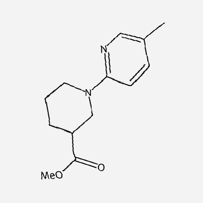 COC(=O)C1CCCN(c2ccc(C)cn2)C1